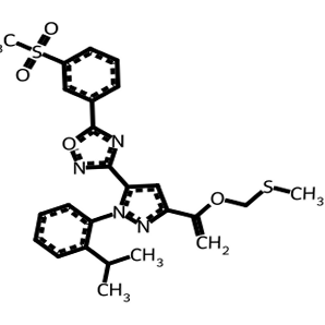 C=C(OCSC)c1cc(-c2noc(-c3cccc(S(C)(=O)=O)c3)n2)n(-c2ccccc2C(C)C)n1